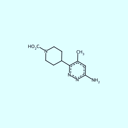 Cc1cc(N)nnc1C1CCN(C(=O)O)CC1